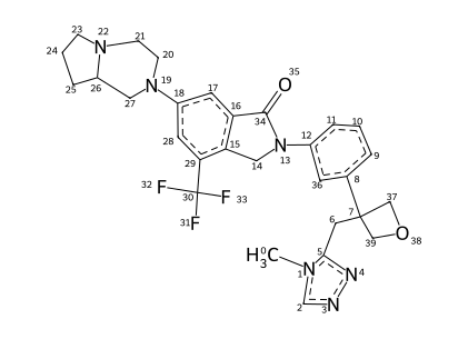 Cn1cnnc1CC1(c2cccc(N3Cc4c(cc(N5CCN6CCCC6C5)cc4C(F)(F)F)C3=O)c2)COC1